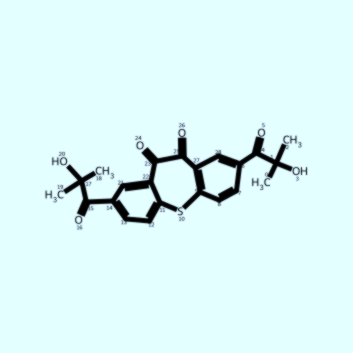 CC(C)(O)C(=O)c1ccc2sc3ccc(C(=O)C(C)(C)O)cc3c(=O)c(=O)c2c1